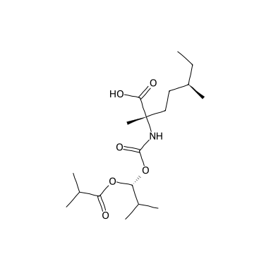 CC[C@@H](C)CC[C@](C)(NC(=O)O[C@@H](OC(=O)C(C)C)C(C)C)C(=O)O